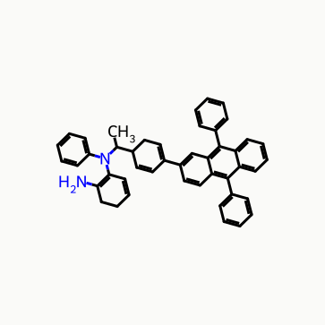 CC(C1C=CC(c2ccc3c(-c4ccccc4)c4ccccc4c(-c4ccccc4)c3c2)=CC1)N(C1=C(N)CCC=C1)c1ccccc1